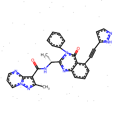 Cc1nn2cccnc2c1C(=O)N[C@H](C)c1nc2cccc(C#Cc3ccn[nH]3)c2c(=O)n1-c1ccccc1